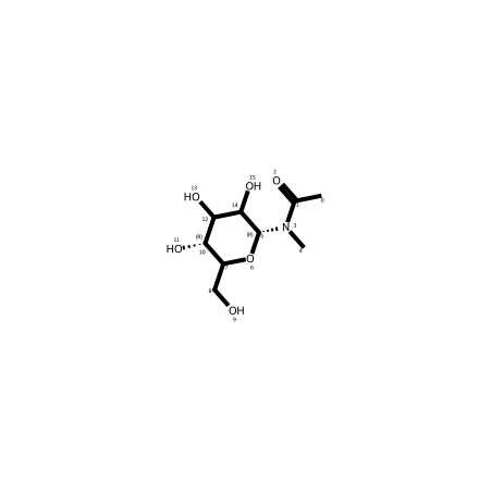 CC(=O)N(C)[C@@H]1OC(CO)[C@H](O)C(O)C1O